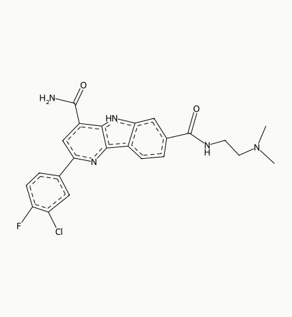 CN(C)CCNC(=O)c1ccc2c(c1)[nH]c1c(C(N)=O)cc(-c3ccc(F)c(Cl)c3)nc12